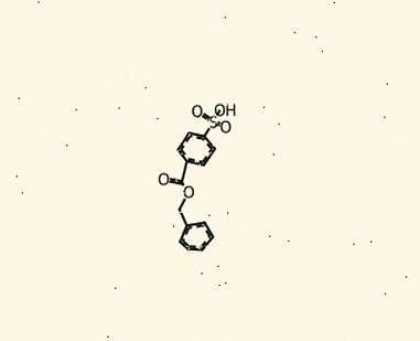 O=C(OCc1ccccc1)c1ccc(S(=O)(=O)O)cc1